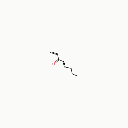 C=CC(=O)C=CCCC